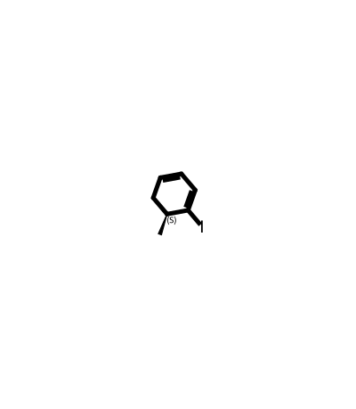 C[C@H]1CC=CC=C1I